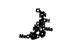 COc1cccc(-c2nnc(NS(=O)(=O)C[C@@H](O)c3ncc(Cl)s3)n2-c2c(OC)cccc2OC)n1